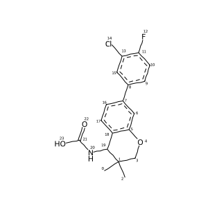 CC1(C)COc2cc(-c3ccc(F)c(Cl)c3)ccc2C1NC(=O)O